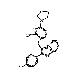 O=c1nc(N2CCCC2)ccn1Cc1c(-c2ccc(Cl)cc2)nc2ccccn12